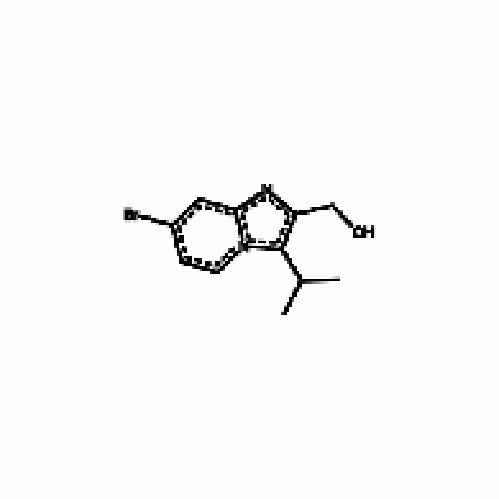 CC(C)c1c(CO)nc2cc(Br)ccn12